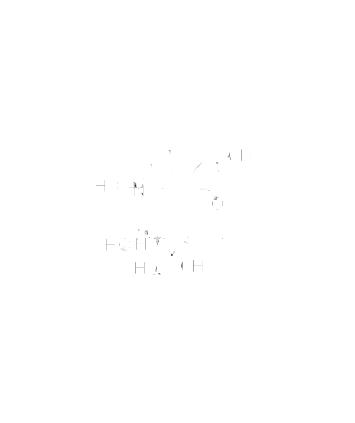 Cc1cc(O[C@H]2CC[C@H](C(C)(C)C)CC2)cc(-c2cccc(N(C)CCC(=O)O)c2)c1